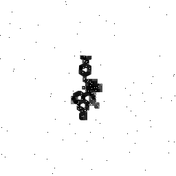 CN(C)c1ccc(CNC(C)(C)C(N)c2ccnc3cc(Cl)ccc23)cc1.Cl.Cl